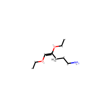 CCOC=C(OCC)[SiH2]CCN